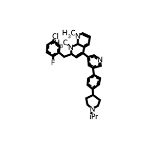 CC(C)N1CCC(c2ccc(-c3cncc(C4=CC(Cc5cc(Cl)ccc5F)N(C)C5C4=CC=CN5C)c3)cc2)CC1